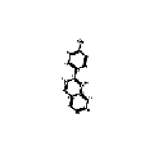 Brc1ccc(-c2ncc3ccccc3n2)cc1